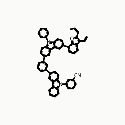 C=Cc1c(/C=C\C)oc2c(-c3ccc4c(c3)c3cc(-c5cccc(-c6ccc7c(c6)c6ccccc6n7-c6cccc(C#N)c6)c5)ccc3n4-c3ccccc3)cccc12